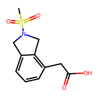 CS(=O)(=O)N1Cc2cccc(CC(=O)O)c2C1